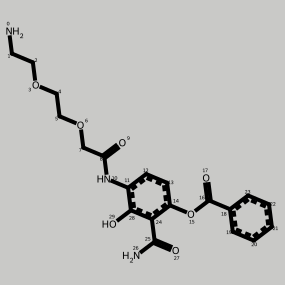 NCCOCCOCC(=O)Nc1ccc(OC(=O)c2ccccc2)c(C(N)=O)c1O